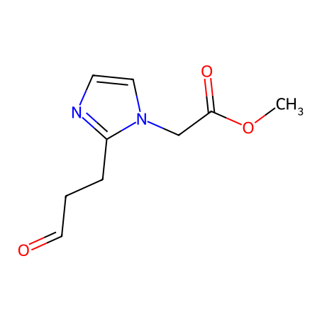 COC(=O)Cn1ccnc1CCC=O